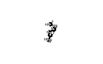 Fc1cc(F)c(-c2cnc3cc(-c4nnc[nH]4)ccn23)nc1NC1CNCC1F